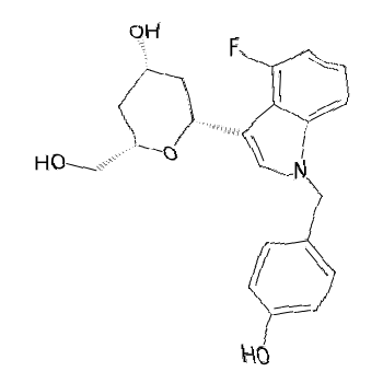 OC[C@@H]1C[C@H](O)C[C@H](c2cn(Cc3ccc(O)cc3)c3cccc(F)c23)O1